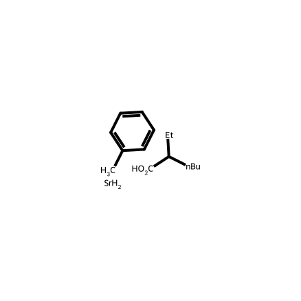 CCCCC(CC)C(=O)O.Cc1ccccc1.[SrH2]